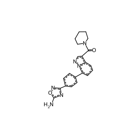 Nc1nc(-c2ccc(-c3cccc4c(C(=O)N5CCCCC5)cnn34)cc2)no1